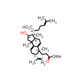 C=C(C)[C@@H]1CC=C2C(=CC[C@]3(C)[C@@H]([C@@H](CCC=C(C)C)C(=O)O)[C@H](O)C[C@@]23C)[C@@]1(C)CCC(=O)OC